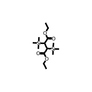 CCOC(=O)C(C(C(=O)OCC)[Si](C)(C)C)[Si](C)(C)C